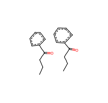 CCCC(=O)c1ccccc1.CCCC(=O)c1ccccc1